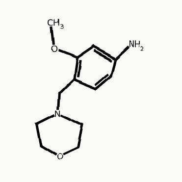 COc1cc(N)ccc1CN1CCOCC1